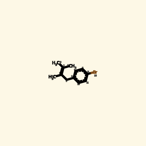 CC(C)=C(C)Cc1ccc(Br)cc1